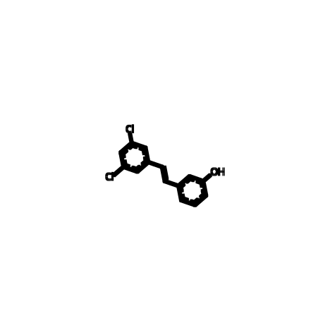 Oc1cccc(C=Cc2cc(Cl)cc(Cl)c2)c1